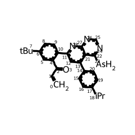 C=CC(=O)c1cc(C(C)(C)C)ccc1-c1cc(-c2ccc(C(C)C)cc2)c2c([AsH2])ncnc2n1